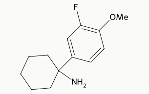 COc1ccc(C2(N)CCCCC2)cc1F